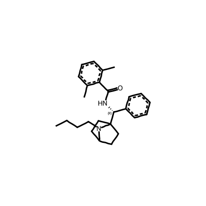 CCCCN1C2CCC1([C@H](NC(=O)c1c(C)cccc1C)c1ccccc1)CC2